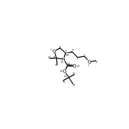 COCCC[C@@H]1COC(C)(C)N1C(=O)OC(C)(C)C